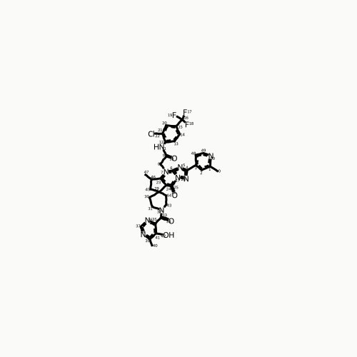 Cc1cc(-c2nc3n(CC(=O)Nc4ccc(C(F)(F)F)cc4Cl)c4c(c(=O)n3n2)C2(CCN(C(=O)c3ncnc(C)c3O)CC2)CC4C)ccn1